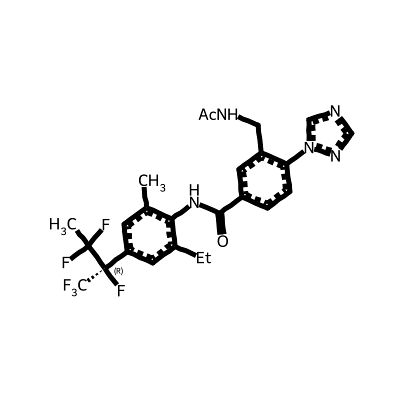 CCc1cc([C@@](F)(C(C)(F)F)C(F)(F)F)cc(C)c1NC(=O)c1ccc(-n2cncn2)c(CNC(C)=O)c1